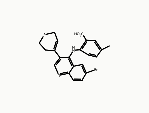 Cc1ccc(Nc2c(C3=CCSCC3)cnc3ccc(Br)cc23)c(C(=O)O)c1